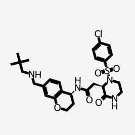 CC(C)(C)CNCc1ccc2c(c1)OCC[C@H]2NC(=O)C[C@@H]1C(=O)NCCN1S(=O)(=O)c1ccc(Cl)cc1